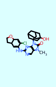 Cn1c(=O)n(C23CC4CC(CC(O)(C4)C2)C3)c2nc(NC3=CC4CCOC4C=C3Cl)ncc21